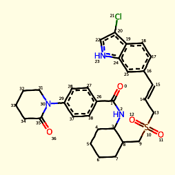 O=C(NC1CCCCC1CS(=O)(=O)CC=Cc1ccc2c(Cl)c[nH]c2c1)c1ccc(N2CCCCC2=O)cc1